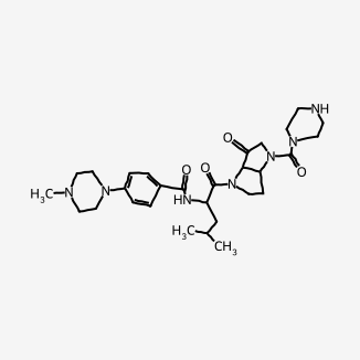 CC(C)CC(NC(=O)c1ccc(N2CCN(C)CC2)cc1)C(=O)N1CCC2C1C(=O)CN2C(=O)N1CCNCC1